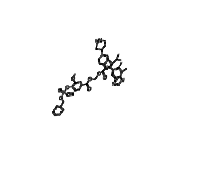 COc1cc(C(=O)OCOC(=O)n2c(-c3cn4ncnc4c(C)c3C)c(C(C)C)c3cc(C4CCNCC4)ccc32)ccc1OP(=O)(O)OCc1ccccc1